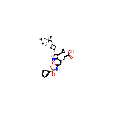 CC(C)(C)C[C@H]1C[C@@H](c2onc([C@@H](CCC(=O)O)CC(=O)NS(=O)(=O)c3ccccc3)c2C2CC2)C1